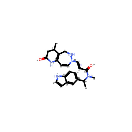 CC1CC(=O)NC2=C1CNN(/C=C/C(=O)N(C)C(C)c1ccc3[nH]ccc3c1)C=C2